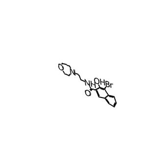 O=C(NCCN1CCOCC1)c1cc2ccccc2c(Br)c1O